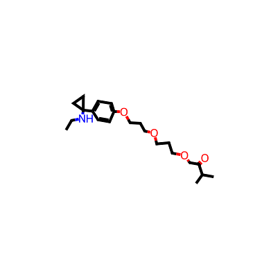 CCNC1(c2ccc(OCCCOCCCOCC(=O)C(C)C)cc2)CC1